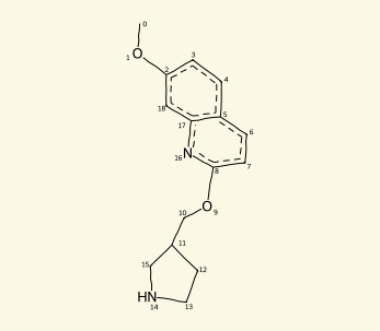 COc1ccc2ccc(OCC3CCNC3)nc2c1